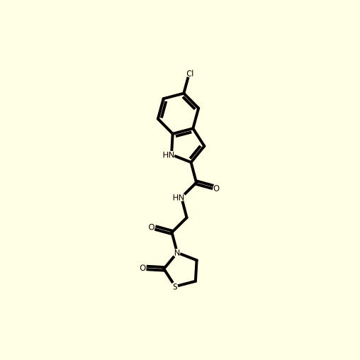 O=C(NCC(=O)N1CCSC1=O)c1cc2cc(Cl)ccc2[nH]1